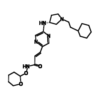 O=C(/C=C/c1cnc(N[C@@H]2CCN(CCC3CCCCC3)C2)cn1)NOC1CCCCO1